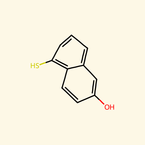 Oc1ccc2c(S)cccc2c1